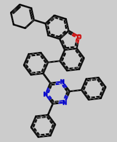 C1=CCCC(c2ccc3oc4cccc(-c5ccccc5-c5nc(-c6ccccc6)nc(-c6ccccc6)n5)c4c3c2)=C1